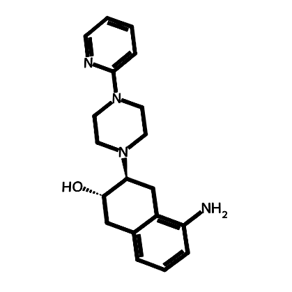 Nc1cccc2c1C[C@H](N1CCN(c3ccccn3)CC1)[C@@H](O)C2